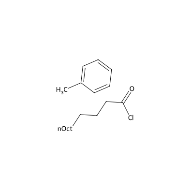 CCCCCCCCCCCC(=O)Cl.Cc1ccccc1